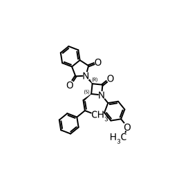 COc1ccc(N2C(=O)[C@H](N3C(=O)c4ccccc4C3=O)[C@@H]2C=C(C)c2ccccc2)cc1